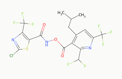 CC(C)Cc1cc(C(F)(F)F)nc(C(F)F)c1C(=O)ONC(=O)c1sc(Cl)nc1C(F)(F)F